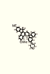 COc1ccc2c3c(c4c(c2c1)OC(c1ccccc1)(c1ccc(N2CCOCC2)cc1)C=C4)C(C)(C)c1cc(C#N)ccc1-3